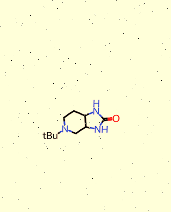 CC(C)(C)N1CCC2NC(=O)NC2C1